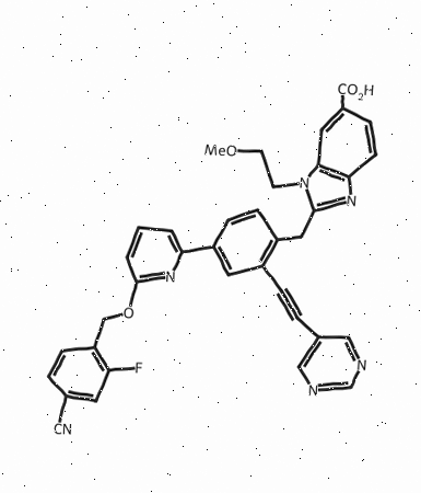 COCCn1c(Cc2ccc(-c3cccc(OCc4ccc(C#N)cc4F)n3)cc2C#Cc2cncnc2)nc2ccc(C(=O)O)cc21